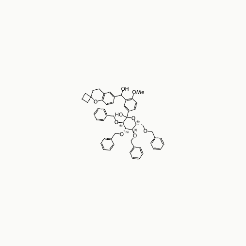 COc1ccc(C2(O)O[C@H](COCc3ccccc3)[C@@H](OCc3ccccc3)[C@H](OCc3ccccc3)[C@H]2OCc2ccccc2)cc1C(O)c1ccc2c(c1)CCC1(CCC1)O2